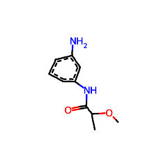 COC(C)C(=O)Nc1cccc(N)c1